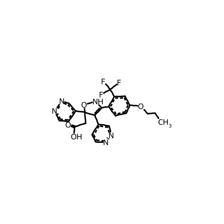 CCCOc1ccc(C2=C(c3ccnnc3)C(CC(=O)O)(c3ccnnc3)ON2)c(C(F)(F)F)c1